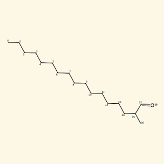 CCCCCCCCCCCCCCCC(C)C=O